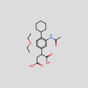 CC(=O)Nc1cc(C(CC(=O)O)C(=O)O)ccc1C1CCCCC1.CCOCC